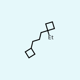 CCC1(CCCC2CCC2)CCC1